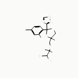 CC1(COC(F)(F)C(F)Cl)COC(c2nc[nH]n2)(c2ccc(Cl)cc2Cl)O1